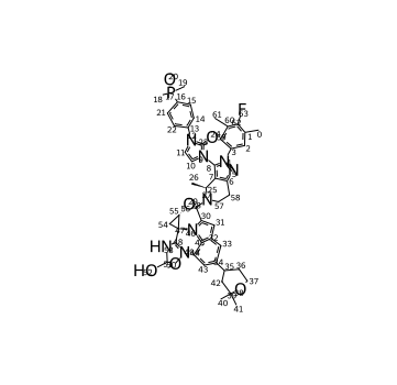 Cc1cc(-n2nc3c(c2-n2ccn(-c4ccc(P(C)(C)=O)cc4)c2=O)[C@H](C)N(C(=O)c2cc4cc(C5CCOC(C)(C)C5)ccc4n2[C@@]2(C4=NOC(O)N4)C[C@@H]2C)CC3)cc(C)c1F